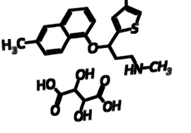 CNCCC(Oc1cccc2cc(C)ccc12)c1cc(Cl)cs1.O=C(O)C(O)C(O)C(=O)O